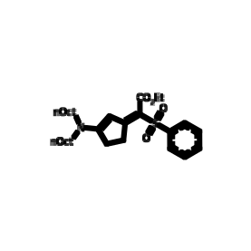 CCCCCCCCN(CCCCCCCC)C1=C/C(=C(\C(=O)OCC)S(=O)(=O)c2ccccc2)CC1